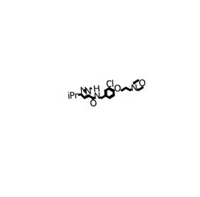 CC(C)c1cc(C(=O)NCc2ccc(OCCCN3CCOCC3)c(Cl)c2)n(C)n1